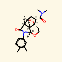 Cc1ccc(N2C(=O)[C@H]3[C@H]4[C@@H]2OCC[C@@]42O[C@]3(C)C[C@@H]2C(=O)N(C)C)cc1C